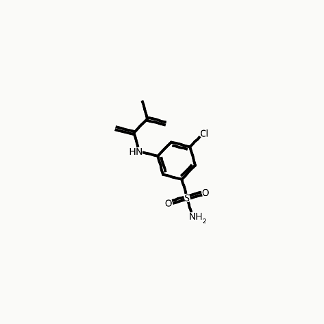 C=C(C)C(=C)Nc1cc(Cl)cc(S(N)(=O)=O)c1